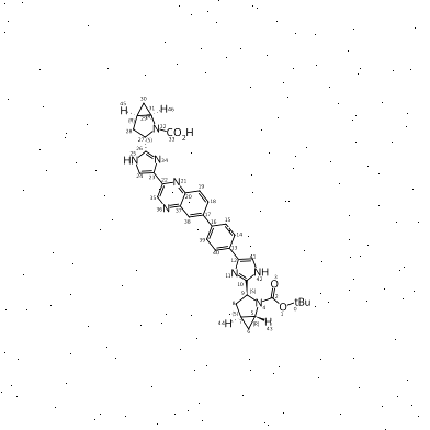 CC(C)(C)OC(=O)N1[C@@H]2C[C@H]2C[C@H]1c1nc(-c2ccc(-c3ccc4nc(-c5c[nH]c([C@@H]6C[C@H]7C[C@H]7N6C(=O)O)n5)cnc4c3)cc2)c[nH]1